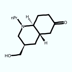 CCCN1C[C@H](CO)C[C@H]2CC(=O)CC[C@@H]21